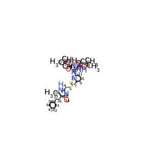 Cc1[nH]c(CCSCc2cccc(N=C(NC(=O)OC(C)(C)C)NC(=O)OC(C)(C)C)n2)nc(=O)c1CCc1ccccc1